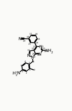 Cc1cc(N)ccc1Cn1ncc2c(-c3cccc(C#N)c3)nc(N)nc21